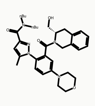 CCCCN(CCCC)C(=O)c1cc(C)n(-c2ccc(N3CCOCC3)cc2C(=O)N2Cc3ccccc3C[C@H]2CO)n1